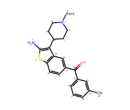 CCCC(C)N1CCC(c2c(N)sc3ccc(C(=O)c4cccc(C#N)c4)cc23)CC1